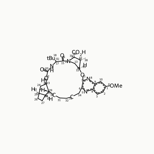 COc1ccc2nc3c(nc2c1)O[C@H]1CN(C(=O)[C@H](C(C)(C)C)NC(=O)O[C@@H]2C[C@@H]4CC[C@@H]4[C@H]2CCCCC3)[C@H](C(=O)O)[C@@H]1C